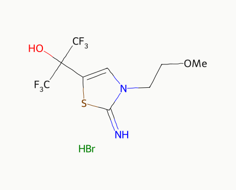 Br.COCCn1cc(C(O)(C(F)(F)F)C(F)(F)F)sc1=N